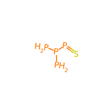 PP(P)P=S